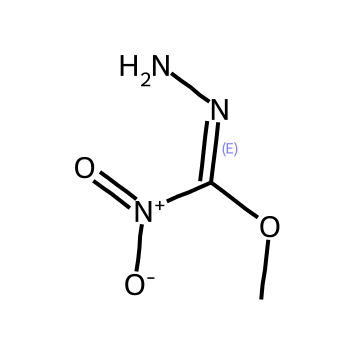 CO/C(=N/N)[N+](=O)[O-]